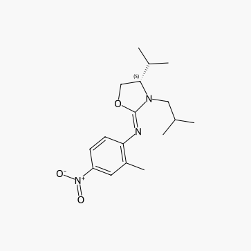 Cc1cc([N+](=O)[O-])ccc1N=C1OC[C@H](C(C)C)N1CC(C)C